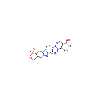 CCC(O)C1=C(C(F)(F)F)NC(N2CCn3c(nc4cc(CO)c(S(C)(=O)=O)cc43)[C@H]2C(C)C)N=C1